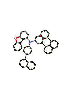 c1ccc(-c2cccc3cccc(-c4cccc(N(c5ccc(-c6cccc7ccccc67)cc5)c5cccc6oc7ccccc7c56)c4)c23)cc1